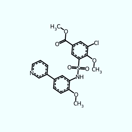 COC(=O)c1cc(Cl)c(OC)c(S(=O)(=O)Nc2cc(-c3cccnc3)ccc2OC)c1